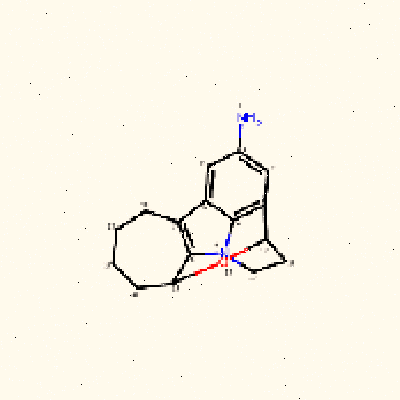 Nc1cc2c3c(c1)c1c4n3CCC2OC4CCCC1